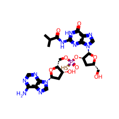 CC(C)C(=O)Nc1nc2c(ncn2[C@@H]2O[C@H](CO)C[C@@H]2OP(=O)(S)OC[C@H]2O[C@@H](n3cnc4c(N)ncnc43)C[C@H]2O)c(=O)[nH]1